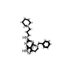 c1ccc(CN2CCc3n[nH]c4nc(NCCCN5CCCCC5)nc2c34)cc1